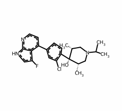 CC(C)N1C[C@@H](C)[C@](O)(c2ccc(-c3ccnc4[nH]cc(F)c34)cc2Cl)[C@@H](C)C1